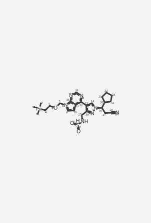 C[Si](C)(C)CCOCn1ccc2c(-c3cn(C(CC#N)C4CCCC4)nc3CN[SH](=O)=O)ncnc21